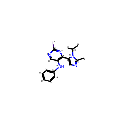 Cc1ncc(-c2nc(I)ncc2Nc2ccccc2)n1C(C)C